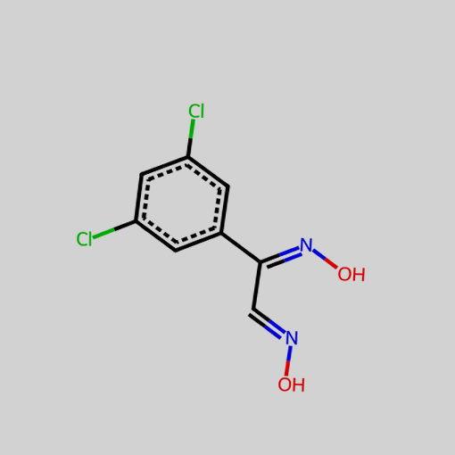 ON=CC(=NO)c1cc(Cl)cc(Cl)c1